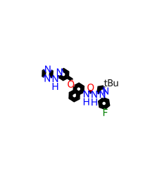 CC(C)(C)c1cc(NC(=O)Nc2ccc(OCc3ccnc(Nc4cnccn4)c3)c3ccccc23)n(-c2ccc(F)cc2)n1